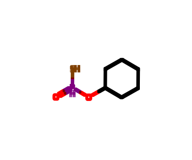 O=[PH](S)OC1CCCCC1